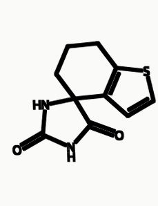 O=C1NC(=O)C2(CCCc3sccc32)N1